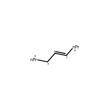 [CH2]CC[C]=CCCCC